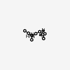 c1ccc(C2=NC(c3ccc(-c4ccc5c(c4)C4(c6ccccc6N(c6ccccc6)c6ccccc64)c4cccnc4-5)cc3)=NC(c3ccc(-c4ccccc4)cc3)N2)cc1